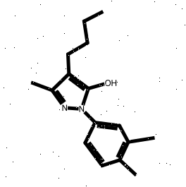 CCCCc1c(C)nn(-c2ccc(C)c(C)c2)c1O